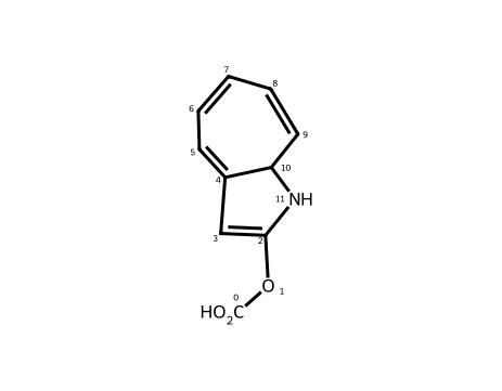 O=C(O)OC1=CC2=CC=CC=CC2N1